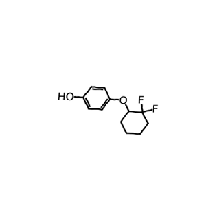 Oc1ccc(OC2CCCCC2(F)F)cc1